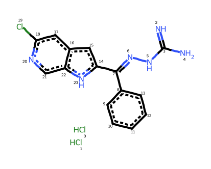 Cl.Cl.N=C(N)NN=C(c1ccccc1)c1cc2cc(Cl)ncc2[nH]1